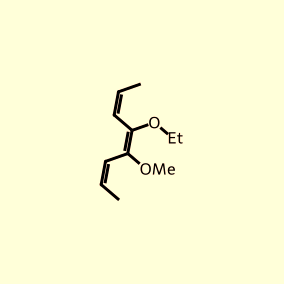 C\C=C/C(OC)=C(\C=C/C)OCC